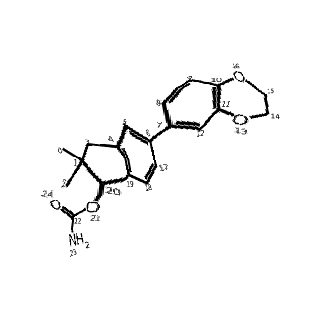 CC1(C)Cc2cc(-c3ccc4c(c3)OCCO4)ccc2C1OC(N)=O